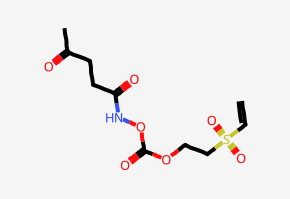 C=CS(=O)(=O)CCOC(=O)ONC(=O)CCC(C)=O